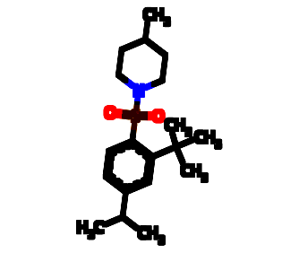 CC1CCN(S(=O)(=O)c2ccc(C(C)C)cc2C(C)(C)C)CC1